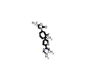 C/N=C(\N=N/N)c1ccc(C2(C)C=CC=C(N3C[C@H](C)OC3=O)C=C2F)cn1